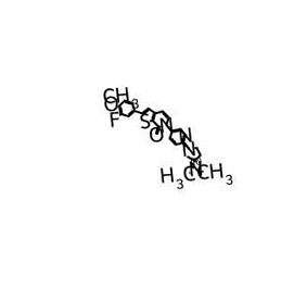 COc1ccc(-c2cc3ccn(-c4ccc(N5CC[C@@H](N(C)C)C5)nc4)c(=O)c3s2)cc1F